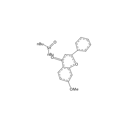 CCC[CH2][Sn](=[O])[CH2]CCC.COc1ccc2c(=O)cc(-c3ccccc3)oc2c1